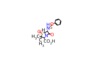 CC1(C)[C@H](C(=O)O)N2C(=O)[C@@H](NSOc3ccccc3)[C@H]2[S+]1[O-]